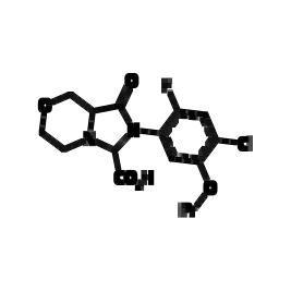 CC(C)Oc1cc(N2C(=O)C3COCCN3C2C(=O)O)c(F)cc1Cl